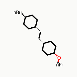 CCCC[C@H]1CC[C@H](CC[C@H]2CC[C@H](OCCC)CC2)CC1